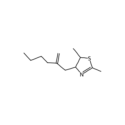 C=C(CCCC)CC1N=C(C)SC1C